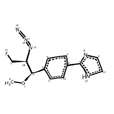 CO[C@H](c1ccc(-c2ncc[nH]2)cc1)[C@@H](CF)N=[N+]=[N-]